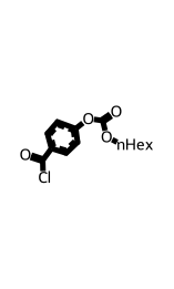 CCCCCCOC(=O)Oc1ccc(C(=O)Cl)cc1